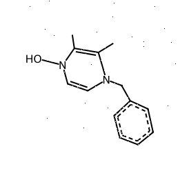 CC1=C(C)N(Cc2ccccc2)C=CN1O